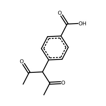 CC(=O)C(C(C)=O)c1ccc(C(=O)O)cc1